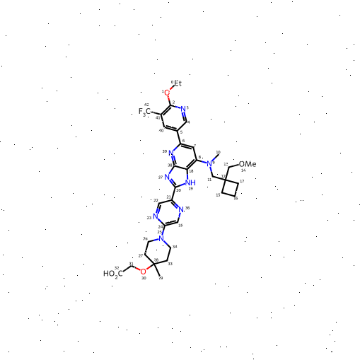 CCOc1ncc(-c2cc(N(C)CC3(COC)CCC3)c3[nH]c(-c4cnc(N5CCC(C)(OCC(=O)O)CC5)cn4)nc3n2)cc1C(F)(F)F